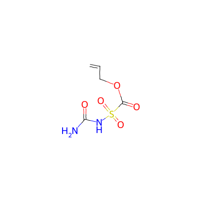 C=CCOC(=O)S(=O)(=O)NC(N)=O